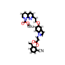 CC(OC(=O)C=Cn1ccc2cc(OCCc3ccc4c(n3)N(C(=O)OC(C)(C)C)CCC4)ccc21)c1cccc(C#N)c1